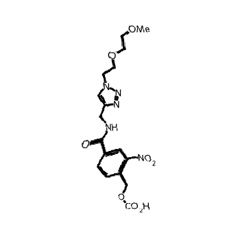 COCCOCCn1cc(CNC(=O)c2ccc(COC(=O)O)c([N+](=O)[O-])c2)nn1